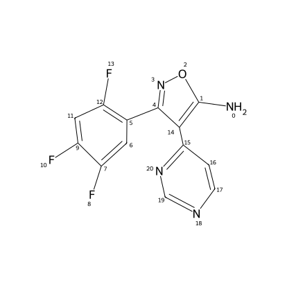 Nc1onc(-c2cc(F)c(F)cc2F)c1-c1ccncn1